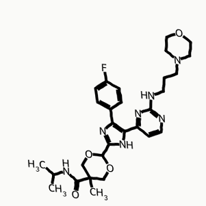 CC(C)NC(=O)C1(C)COC(c2nc(-c3ccc(F)cc3)c(-c3ccnc(NCCCN4CCOCC4)n3)[nH]2)OC1